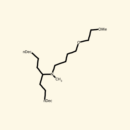 CCCCCCCCCCCCC(CCCCCCCCCCCC)N(C)CCCCOCCOC